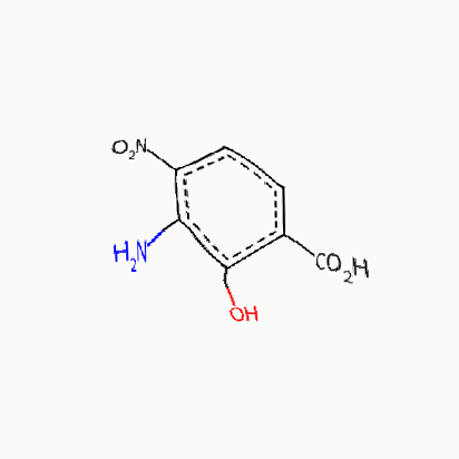 Nc1c([N+](=O)[O-])ccc(C(=O)O)c1O